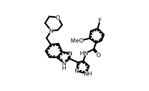 COc1cc(F)ccc1C(=O)Nc1c[nH]nc1-c1nc2cc(CN3CCOCC3)ccc2[nH]1